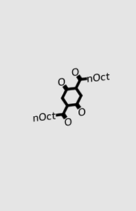 CCCCCCCCC(=O)C1CC(=O)C(C(=O)CCCCCCCC)CC1=O